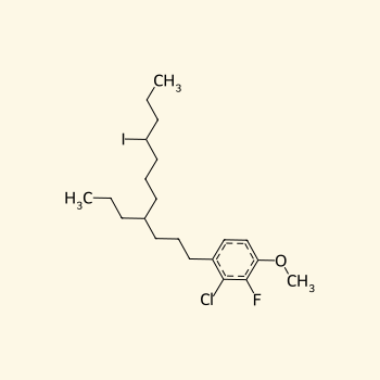 CCCC(I)CCCC(CCC)CCCc1ccc(OC)c(F)c1Cl